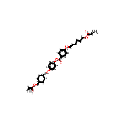 C=CC(=O)OCCCCCCOc1ccc(C(=O)Oc2ccc(OCC3CCC(COC(=O)C=C)CC3)cc2)cc1